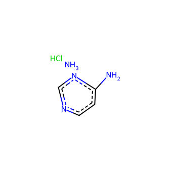 Cl.N.Nc1ccncn1